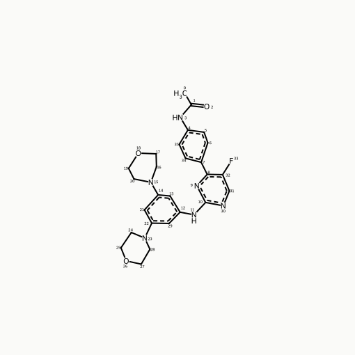 CC(=O)Nc1ccc(-c2nc(Nc3cc(N4CCOCC4)cc(N4CCOCC4)c3)ncc2F)cc1